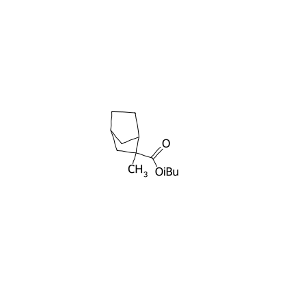 CC(C)COC(=O)C1(C)CC2CCC1C2